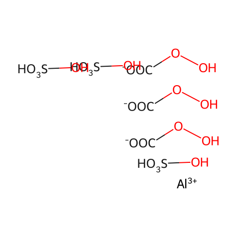 O=C([O-])OO.O=C([O-])OO.O=C([O-])OO.O=S(=O)(O)O.O=S(=O)(O)O.O=S(=O)(O)O.[Al+3]